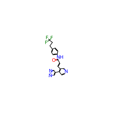 Cn1cc(-c2ccncc2/C=C/C(=O)Nc2ccc(CCC(F)(F)F)cc2)cn1